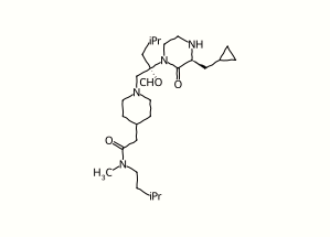 CC(C)CCN(C)C(=O)CC1CCN(C[C@@](C=O)(CC(C)C)N2CCN[C@@H](CC3CC3)C2=O)CC1